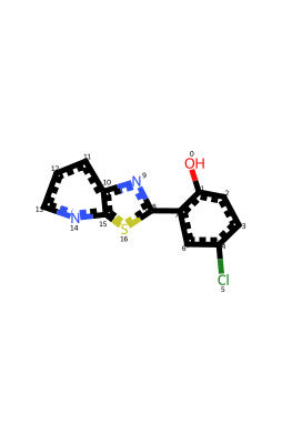 Oc1ccc(Cl)cc1-c1nc2cccnc2s1